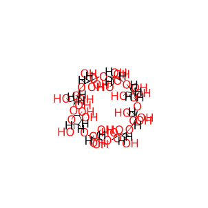 OC[C@H]1OC2O[C@H]3[C@H](O)C(O)C(OC4[C@@H](CO)OC(O[C@H]5C(O)C(O)C(O[C@@H]5CO)O[C@H]5C(O)[C@@H](O)C(O[C@H]6[C@H](O)[C@@H](O)C(OC7C(O)[C@@H](O)C(O[C@@H]7CO)O[C@H]7C(O)C(O)C(OC1C(O)[C@H]2O)O[C@@H]7CO)O[C@@H]6CO)O[C@@H]5CO)[C@H](O)[C@H]4O)O[C@@H]3CO